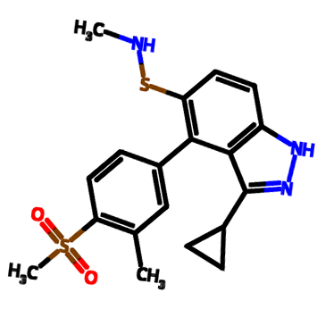 CNSc1ccc2[nH]nc(C3CC3)c2c1-c1ccc(S(C)(=O)=O)c(C)c1